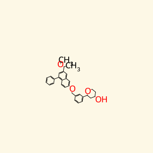 COC(C)c1cc(-c2ccccc2)c2ccc(OCc3cccc(C4CC(O)CCO4)c3)cc2c1